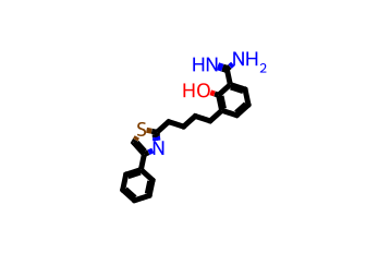 N=C(N)c1cccc(CCCCc2nc(-c3ccccc3)cs2)c1O